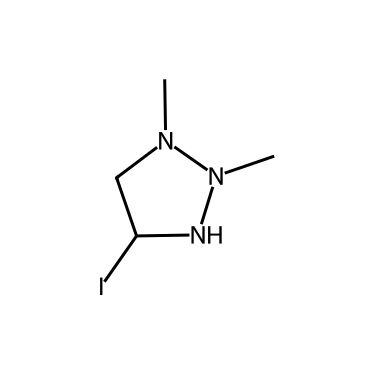 CN1CC(I)NN1C